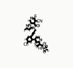 Cc1cc2n(CC#Cc3ccc(Cl)cc3-c3ccnc4c(C(=O)NS(C)(=O)=O)csc34)c(=O)c3c(C#N)c(F)ncc3n2n1